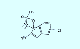 CCCC1=Cc2cc(Cl)ccc2S1(OS(=O)(=O)C(F)(F)F)C(F)(F)F